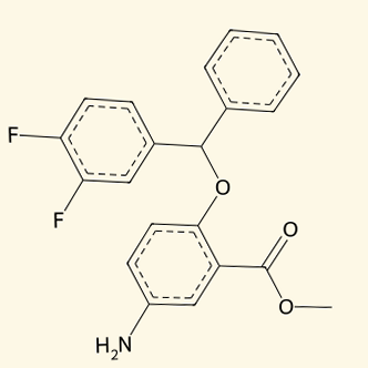 COC(=O)c1cc(N)ccc1OC(c1ccccc1)c1ccc(F)c(F)c1